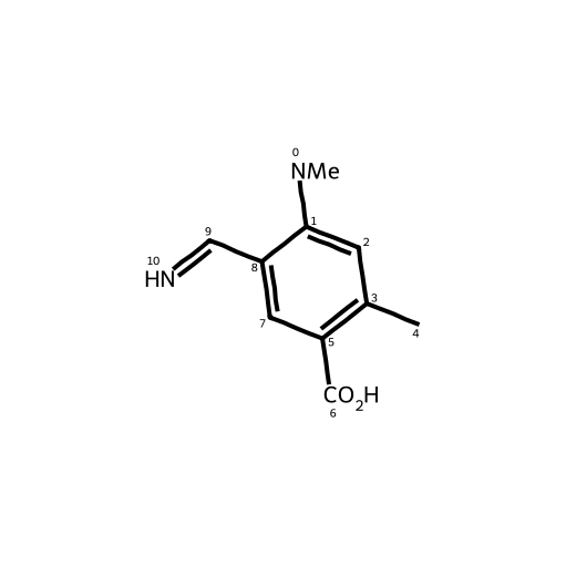 CNc1cc(C)c(C(=O)O)cc1C=N